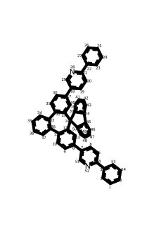 c1ccc(-c2ccc(-c3ccc4c(c3)C3(c5cc(-c6ccc(-c7ccccc7)nc6)ccc5-c5ccccc5-4)c4ccccc4-c4ccccc43)cn2)cc1